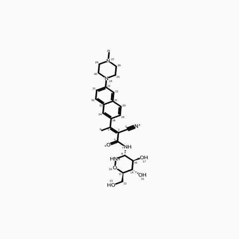 C/C(=C(/C#N)C(=O)N[C@H]1NO[C@H](CO)[C@@H](O)[C@@H]1O)c1ccc2cc(N3CCN(C)CC3)ccc2c1